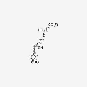 CCOC(=O)CCC[C@H](O)C#C/C=C/C=C/[C@H](O)CC#Cc1ccc(C=O)cc1